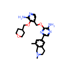 Cc1cc(-c2cnc(N)c(OCc3ccnc(N)c3OCC3CCOCC3)n2)cc2c1CN(C)CC2